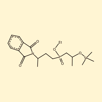 CCOP(=O)(CCC(C)N1C(=O)c2ccccc2C1=O)CC(C)O[Si](C)(C)C